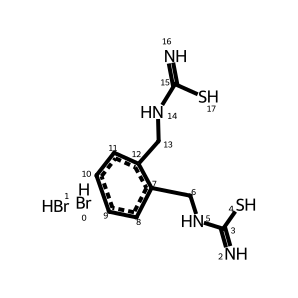 Br.Br.N=C(S)NCc1ccccc1CNC(=N)S